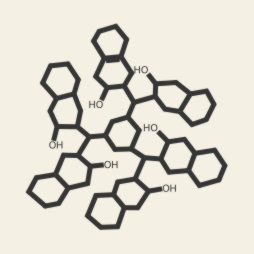 OC1CC2=C(CCCC2)CC1C(C1CC(C(C2CC3CCCCC3CC2O)C2CC3CCCCC3CC2O)CC(C(C2CC3CCCCC3CC2O)C2CC3CCCCC3CC2O)C1)C1CC2CCCCC2CC1O